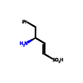 CC(C)C[C@H](N)/C=C/S(=O)(=O)O